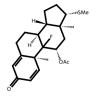 CS[C@H]1CC[C@H]2[C@@H]3CCC4=CC(=O)C=C[C@]4(C)C3(F)[C@@H](OC(C)=O)C[C@]12C